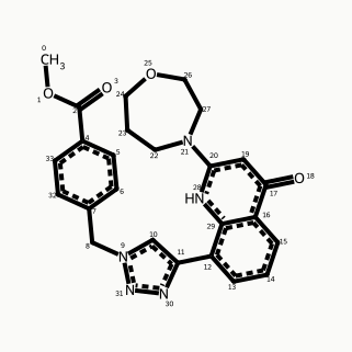 COC(=O)c1ccc(Cn2cc(-c3cccc4c(=O)cc(N5CCCOCC5)[nH]c34)nn2)cc1